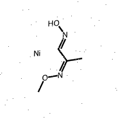 CON=C(C)C=NO.[Ni]